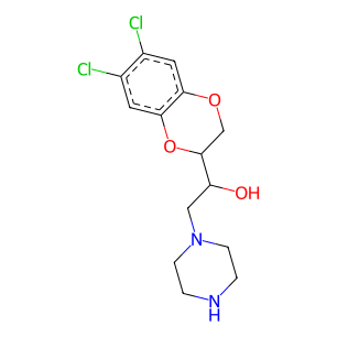 OC(CN1CCNCC1)C1COc2cc(Cl)c(Cl)cc2O1